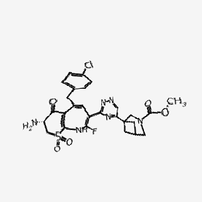 COC(=O)N1CC2CC(c3cnnc(C4=C(F)NC5=C(C(=O)[C@@H](N)CS5(=O)=O)C(Cc5ccc(Cl)cc5)=C4)n3)(C2)C1